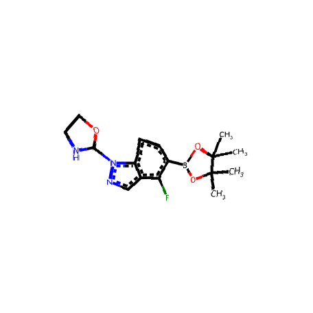 CC1(C)OB(c2ccc3c(cnn3C3NCCO3)c2F)OC1(C)C